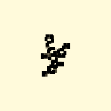 Oc1cccc([C@@]23CCN(Cc4ccccc4)C[C@@]2(O)Cc2c([nH]c4ccc(Cl)cc24)C3)c1